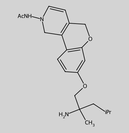 CC(=O)NN1C=CC2=C(C1)c1ccc(OCC(C)(N)CC(C)C)cc1OC2